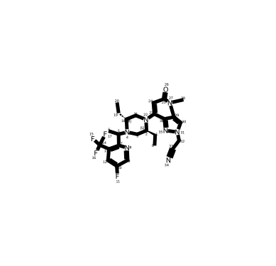 CC[C@H]1CN(C(C)c2ncc(F)cc2C(F)(F)F)[C@H](CC)CN1c1cc(=O)n(C)c2cn(CC#N)nc12